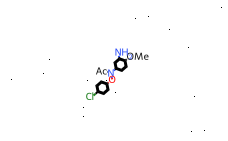 COc1ccc(N(Oc2ccc(Cl)cc2)C(C)=O)cc1N